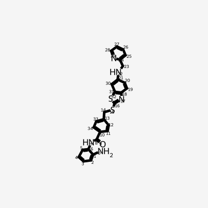 Nc1ccccc1NC(=O)c1ccc(CSc2nc3ccc(NCc4ccccn4)cc3s2)cc1